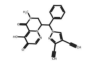 C#Cc1cn(C(c2ccccc2)C2CN(C)C(=O)c3c(O)c(=O)cnn32)nc1C#C